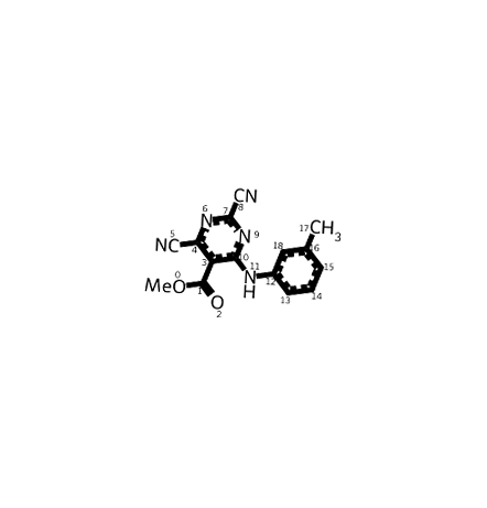 COC(=O)c1c(C#N)nc(C#N)nc1Nc1cccc(C)c1